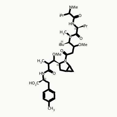 CC[C@H](C)C(C(CC(=O)N1C2CC2C[C@H]1C(OC)C(C)C(=O)N[C@@H](Cc1ccc(C)cc1)C(=O)O)OC)N(C)C(=O)[C@@H](NC(=O)C(NC)C(C)C)C(C)C